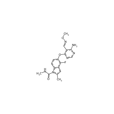 CNC(=O)n1c(C)cc2c(F)c(Oc3ncnc(N)c3C=NOC)ccc21